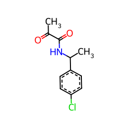 CC(=O)C(=O)NC(C)c1ccc(Cl)cc1